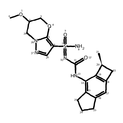 COC1COc2c(S(N)(=O)=NC(=O)Nc3c4c(cc5c3[C@@H](C)C5)CCC4)cnn2C1